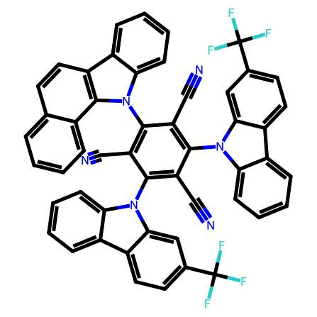 N#Cc1c(-n2c3ccccc3c3ccc(C(F)(F)F)cc32)c(C#N)c(-n2c3ccccc3c3ccc4ccccc4c32)c(C#N)c1-n1c2ccccc2c2ccc(C(F)(F)F)cc21